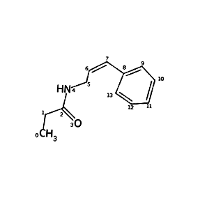 CCC(=O)NC/C=C\c1ccccc1